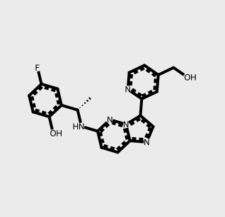 C[C@H](Nc1ccc2ncc(-c3cc(CO)ccn3)n2n1)c1cc(F)ccc1O